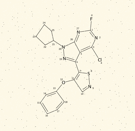 Fc1nc(Cl)c2c(-c3sncc3Oc3ccccc3)nn(C3CCCC3)c2n1